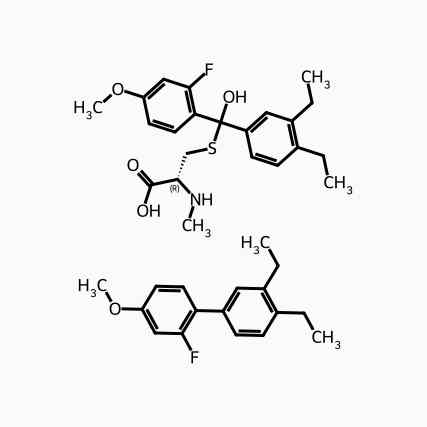 CCc1ccc(-c2ccc(OC)cc2F)cc1CC.CCc1ccc(C(O)(SC[C@H](NC)C(=O)O)c2ccc(OC)cc2F)cc1CC